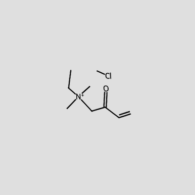 C=CC(=O)C[N+](C)(C)CC.CCl